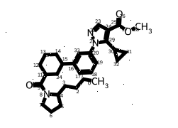 CCCCC1CCCN1C(=O)C1CCCC(c2cccc(-n3ncc(C(=O)OC)c3C3CC3)c2)C1